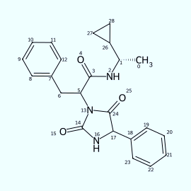 C[C@H](NC(=O)C(Cc1ccccc1)N1C(=O)NC(c2ccccc2)C1=O)C1CC1